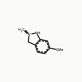 C=[N+]1Cc2ccc(SC)cc2N1